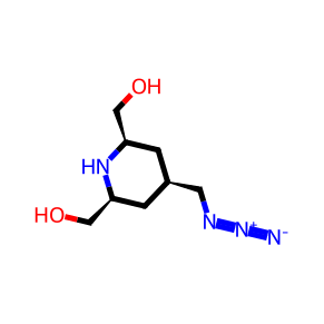 [N-]=[N+]=NC[C@H]1C[C@@H](CO)N[C@@H](CO)C1